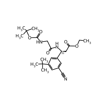 CCOC(=O)C[C@H](NC(=O)CNC(=O)OC(C)(C)C)c1cc(C#N)cc(C(C)(C)C)c1